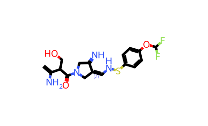 C=C(N)C(CO)C(=O)N1CC(=N)/C(=C\NSc2ccc(OC(F)F)cc2)C1